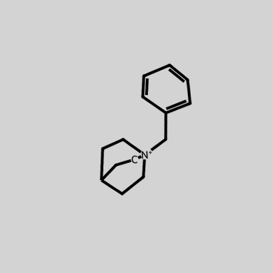 c1ccc(C[N+]23CCC(CC2)CC3)cc1